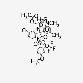 COc1ccc(S(=O)(=O)N2C(=O)C(c3cc(C)ccc3OC)(N3CC(OC(C)=O)CC3C(=O)N(C)C)c3cc(Cl)ccc32)c(OC(F)(F)F)c1